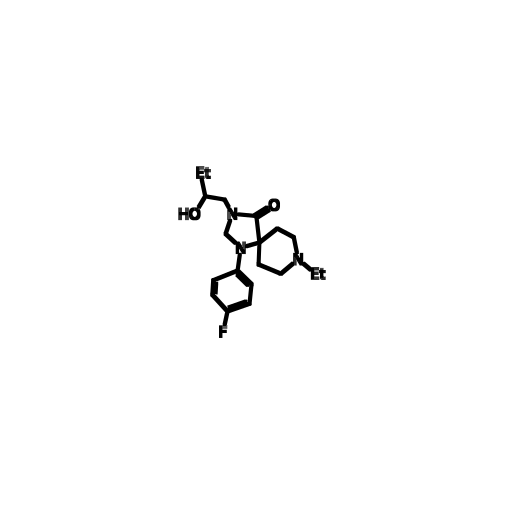 CCC(O)CN1CN(c2ccc(F)cc2)C2(CCN(CC)CC2)C1=O